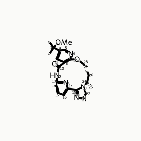 COC(C)(C)c1cnc2c(c1)C(=O)Nc1cccc(n1)-c1nncn1[C@@H](C)CCCO2